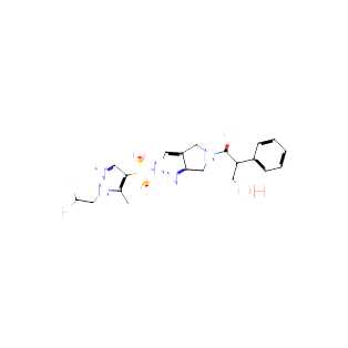 Cc1c(S(=O)(=O)n2cc3c(n2)CN(C(=O)C(CO)c2ccccc2)C3)cnn1CC(F)F